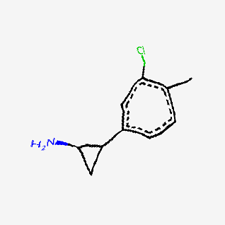 Cc1ccc(C2C[C@H]2N)cc1Cl